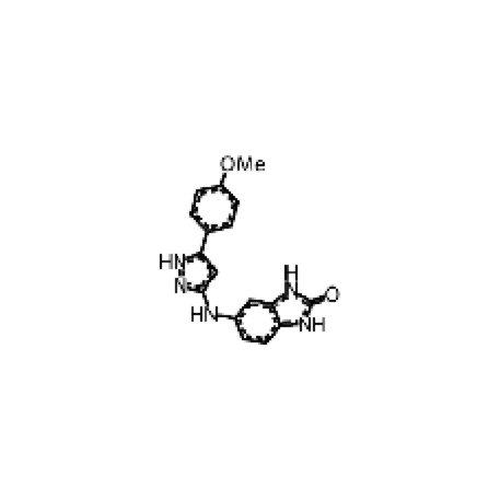 COc1ccc(-c2cc(Nc3ccc4[nH]c(=O)[nH]c4c3)n[nH]2)cc1